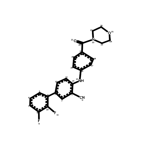 N#Cc1cc(-c2cccc(F)c2F)ccc1Nc1ccc(C(=O)N2CCOCC2)cc1